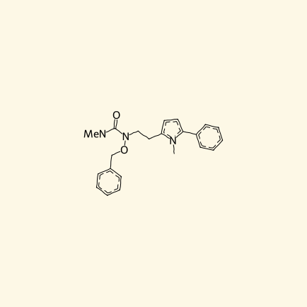 CNC(=O)N(CCc1ccc(-c2ccccc2)n1C)OCc1ccccc1